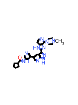 CN1CCN(c2nccc3[nH]c(-c4n[nH]c5ncc(-c6cncc(NC(=O)C7CCCC7)c6)cc45)nc23)CC1